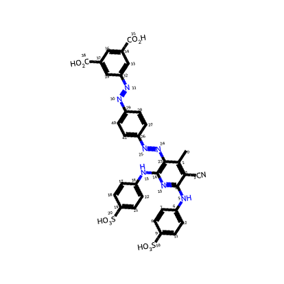 Cc1c(C#N)c(Nc2ccc(S(=O)(=O)O)cc2)nc(Nc2ccc(S(=O)(=O)O)cc2)c1/N=N/c1ccc(/N=N/c2cc(C(=O)O)cc(C(=O)O)c2)cc1